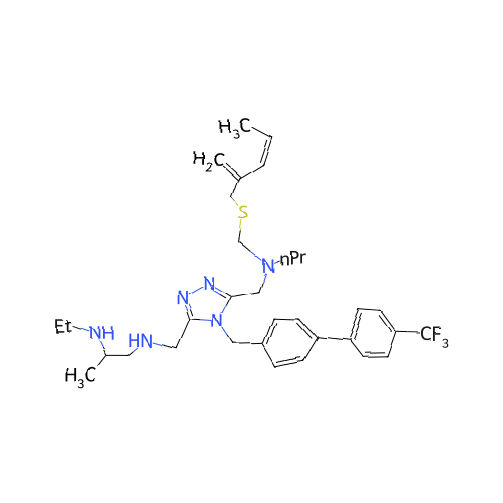 C=C(/C=C\C)CSCN(CCC)Cc1nnc(CNCC(C)NCC)n1Cc1ccc(-c2ccc(C(F)(F)F)cc2)cc1